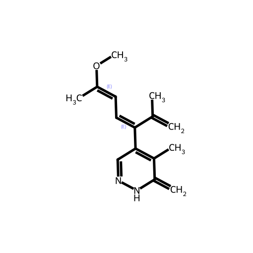 C=C1NN=CC(/C(=C/C=C(\C)OC)C(=C)C)=C1C